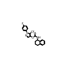 O=C(NC1CCCc2ccccc21)Oc1cnn(-c2ccc(F)cc2)c1C(F)(F)F